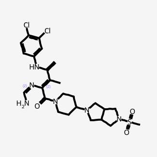 C=C(Nc1ccc(Cl)c(Cl)c1)/C(C)=C(\N=C/N)C(=O)N1CCC(N2CC3CN(S(C)(=O)=O)CC3C2)CC1